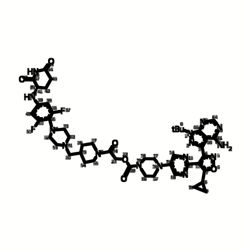 CC(C)(C)n1nc(-c2noc(C3CC3)c2-c2ncc(N3CCN(C(=O)OCC(=O)N4CCC(CN5CCN(c6c(F)cc(N[C@@H]7CCC(=O)NC7=O)cc6F)CC5)CC4)CC3)cn2)c2c(N)ncnc21